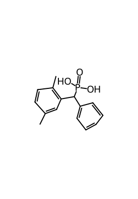 Cc1ccc(C)c(C(c2ccccc2)P(=O)(O)O)c1